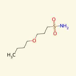 CCCCOCCCS(N)(=O)=O